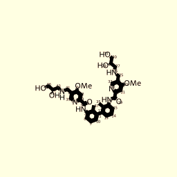 COc1cc(C(=O)Nc2cccc(-c3cccc(NC(=O)c4cc(OC)c(CNC[C@H](O)CO)cn4)c3C)c2C)ncc1CNC[C@H](O)CO